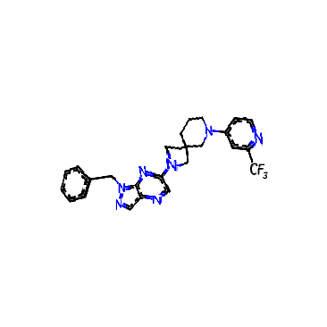 FC(F)(F)c1cc(N2CCCC3(C2)CN(c2cnc4cnn(Cc5ccccc5)c4n2)C3)ccn1